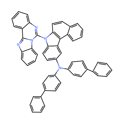 c1ccc(-c2ccc(N(c3ccc(-c4ccccc4)cc3)c3ccc4c(c3)c3c5ccccc5ccc3n4-c3nc4ccccc4c4nc5ccccc5n34)cc2)cc1